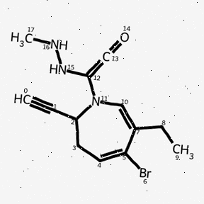 C#CC1CC=C(Br)C(CC)=CN1C(=C=O)NNC